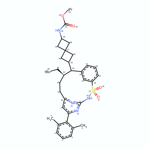 Cc1cccc(C)c1-c1cc2nc(n1)NS(=O)(=O)c1cccc(c1)C(C1CC3(CC(NC(=O)OC(C)C)C3)C1)[C@H](CC(C)(C)C)CC2